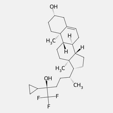 C[C@H](CC[C@@](O)(C1CC1)C(F)(F)F)[C@H]1CC[C@H]2[C@@H]3CC=C4C[C@@H](O)CC[C@]4(C)[C@H]3CC[C@]12C